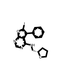 Ic1oc2ncnc(NC[C@@H]3CCCO3)c2c1-c1ccccc1